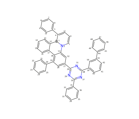 C1=CN2B(C(c3ccccc3)=C1)c1ccccc1-c1c(-c3ccccc3)cc(-c3nc(-c4ccccc4)nc(-c4cccc(-c5ccccc5)c4)n3)cc12